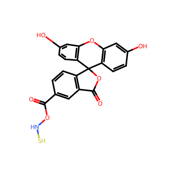 O=C(ONS)c1ccc2c(c1)C(=O)OC21c2ccc(O)cc2Oc2cc(O)ccc21